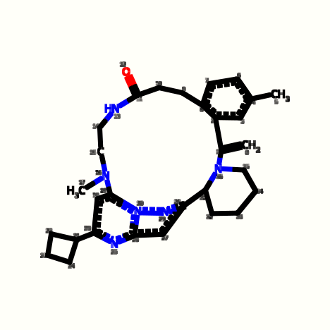 C=C1c2cc(C)ccc2CCC(=O)NCCN(C)c2cc(C3CCC3)nc3cc(nn23)C2CCCCN12